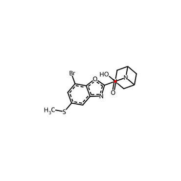 CSc1cc(Br)c2oc(N3CC4CC(C3)N4C(=O)O)nc2c1